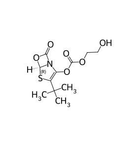 CC(C)(C)C1=C(OC(=O)OCCO)N2C(=O)O[C@@H]2S1